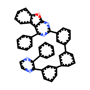 c1ccc(-c2nccnc2-c2cccc(-c3cccc(-c4cccc(-c5nc(-c6ccccc6)c6c(n5)oc5ccccc56)c4)c3)c2)cc1